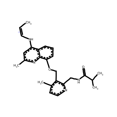 C/C=C\Nc1cc(C)nc2c(OCc3c(C)ccnc3CNC(=O)C(C)C)cccc12